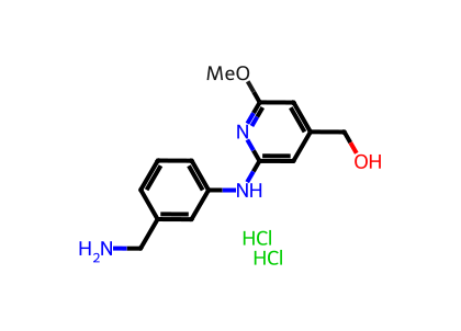 COc1cc(CO)cc(Nc2cccc(CN)c2)n1.Cl.Cl